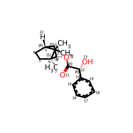 CC1(C)[C@@H]2CC[C@]1(C)[C@@H](OC(=O)[C@H](O)c1ccccc1)C2